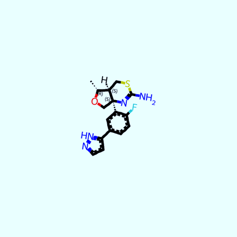 C[C@H]1OC[C@]2(c3cc(-c4ccn[nH]4)ccc3F)N=C(N)SC[C@H]12